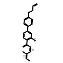 C=CCCc1ccc(-c2ccc(C(=C)/C=C\C(C)=C/C)c(F)c2)cc1